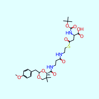 COc1ccc(CC2OCC(C)(C)[C@H](C(=O)NCCC(=O)NCCSC(=O)CC(NC(=O)OC(C)(C)C)C(=O)O)O2)cc1